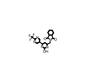 O=C1c2ccccc2C(=O)N1Cc1cc(-c2cnc(C(F)(F)F)nc2)nc(O)n1